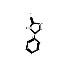 S=C1N[C@H](c2ccccc2)CS1